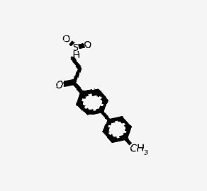 Cc1ccc(-c2ccc(C(=O)CC[SH](=O)=O)cc2)cc1